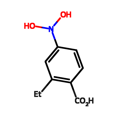 CCc1cc(N(O)O)ccc1C(=O)O